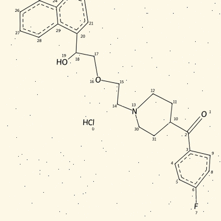 Cl.O=C(c1ccc(F)cc1)C1CCN(CCOCC(O)c2cccc3ccccc23)CC1